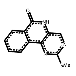 CSc1ncc2[nH]c(=O)c3ccccc3c2n1